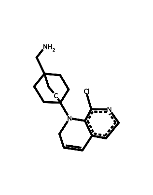 NCC12CCC(N3CC=Cc4ccnc(Cl)c43)(CC1)CC2